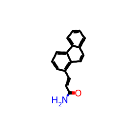 NC(=O)C=Cc1cccc2c1ccc1ccccc12